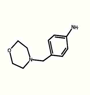 [NH]c1ccc(CN2CCOCC2)cc1